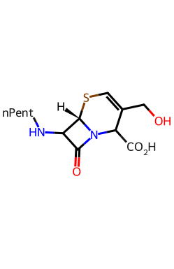 CCCCCNC1C(=O)N2C(C(=O)O)C(CO)=CS[C@@H]12